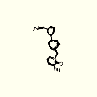 N#Cc1cccc(-c2ccc(Cn3cccc(O)c3=O)cc2)c1